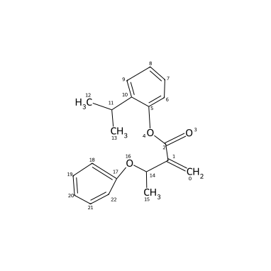 C=C(C(=O)Oc1ccccc1C(C)C)C(C)Oc1ccccc1